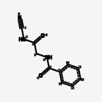 N#CNC(=O)CNC(=O)c1ccccc1